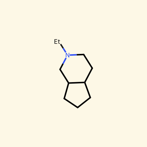 CCN1CCC2CCCC2C1